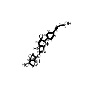 OCCC#Cc1ccc(-c2nc3nc(O[C@@H]4COC5[C@H](O)CO[C@@H]54)[nH]c3cc2Cl)cc1